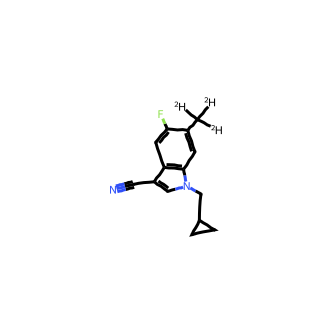 [2H]C([2H])([2H])c1cc2c(cc1F)c(C#N)cn2CC1CC1